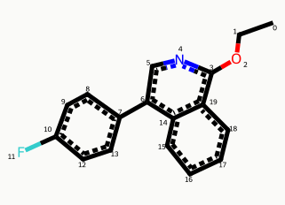 CCOc1ncc(-c2ccc(F)cc2)c2ccccc12